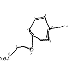 CCOC(=O)COc1cccc(I)c1